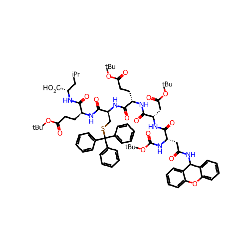 CC(C)C[C@H](NC(=O)[C@H](CCC(=O)OC(C)(C)C)NC(=O)[C@H](CSC(c1ccccc1)(c1ccccc1)c1ccccc1)NC(=O)[C@H](CCC(=O)OC(C)(C)C)NC(=O)[C@H](CC(=O)OC(C)(C)C)NC(=O)[C@H](CC(=O)NC1c2ccccc2Oc2ccccc21)NC(=O)OC(C)(C)C)C(=O)O